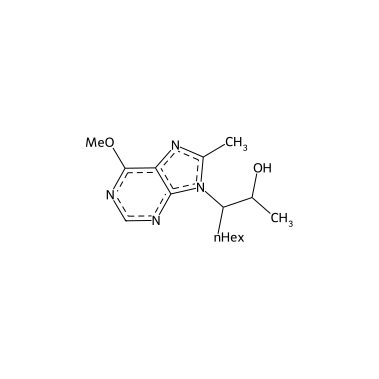 CCCCCCC(C(C)O)n1c(C)nc2c(OC)ncnc21